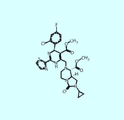 COC(=O)C1=C(CN2CCN3C(=O)N(C4CC4)C[C@@H]3[C@H]2C(=O)OC)NC(c2nccs2)=N[C@H]1c1ccc(F)cc1Cl